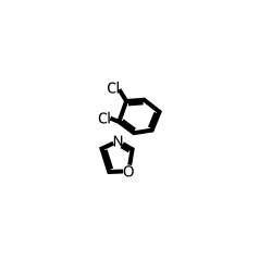 Clc1ccccc1Cl.c1cocn1